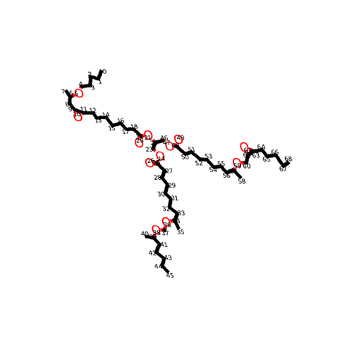 CCCCCOC(C)CC1OC1CCCCCCCC(=O)OC(COC(=O)CCCCCCCC(C)OCOC(C)CCCCC)COC(=O)CCCCCCCC(C)OCC1OC1CCCCC